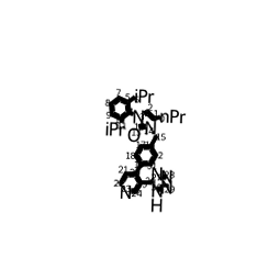 CCCc1cn(-c2c(C(C)C)cccc2C(C)C)c(=O)n1Cc1ccc(-c2ccncc2-c2nnn[nH]2)cc1